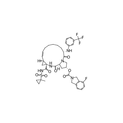 CC1(S(=O)(=O)NC(=O)[C@@]23C[C@@H]2/C=C\CCCCC[C@H](Nc2cccc(C(F)(F)F)c2)C(=O)N2C[C@H](OC(=O)N4Cc5cccc(F)c5C4)C[C@H]2C(=O)N3)CC1